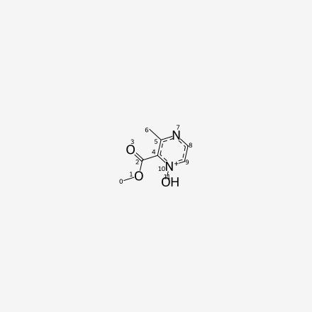 COC(=O)c1c(C)ncc[n+]1O